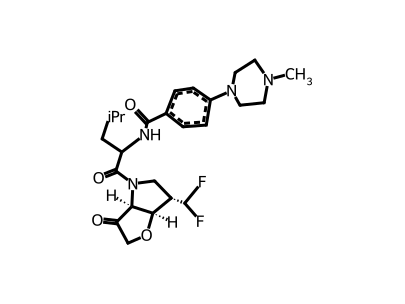 CC(C)CC(NC(=O)c1ccc(N2CCN(C)CC2)cc1)C(=O)N1C[C@H](C(F)F)[C@H]2OCC(=O)[C@H]21